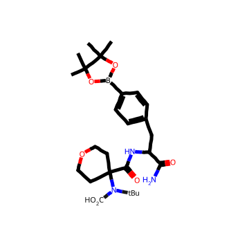 CC(C)(C)N(C(=O)O)C1(C(=O)NC(Cc2ccc(B3OC(C)(C)C(C)(C)O3)cc2)C(N)=O)CCOCC1